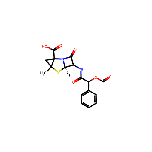 CC12CC1(C(=O)O)N1C(=O)C(NC(=O)C(OC=O)c3ccccc3)[C@H]1S2